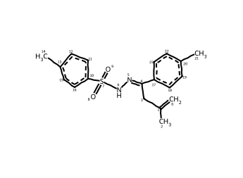 C=C(C)C/C(=N\NS(=O)(=O)c1ccc(C)cc1)c1ccc(C)cc1